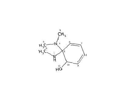 CNC1(N(C)C)C=CC=CC1O